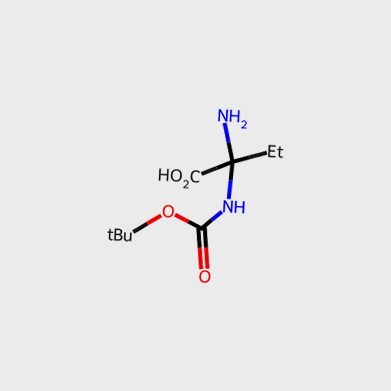 CCC(N)(NC(=O)OC(C)(C)C)C(=O)O